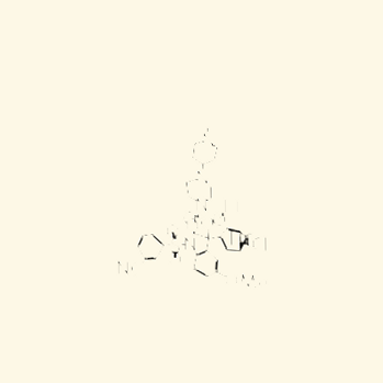 CCOc1ccccc1C1(OC(=O)N2CCN(C3CCN(C)CC3)CC2)C(=O)N(S(=O)(=O)c2cccc(C#N)c2)c2ccc(OC)cc21.Cl.Cl